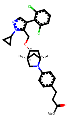 COC(=O)CCc1ccc(N2C[C@@H]3C[C@H]2C[C@H]3OCc2c(-c3c(Cl)cccc3Cl)cnn2C2CC2)cc1